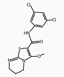 COC1=C(C(=O)Nc2cc(Cl)cc(Cl)c2)SC2=NCCCN21